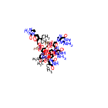 Cc1cn([C@H]2C[C@@H](OP(=O)(S)OC[C@H]3O[C@@H](n4ccc(N)nc4=O)C[C@H]3C(C)C)[C@@H](COP(=O)(S)O[C@@H]3C[C@H](n4cnc5c(=O)[nH]c(N)nc54)O[C@@H]3COP(=O)(S)O[C@@H]3C[C@H](n4cc(C)c(=O)[nH]c4=O)O[C@@H]3COP(=O)(S)O[C@@H]3C[C@H](n4cnc5c(=O)[nH]c(N)nc54)O[C@@H]3COP(=S)(S)OC(C)C)O2)c(=O)[nH]c1=O